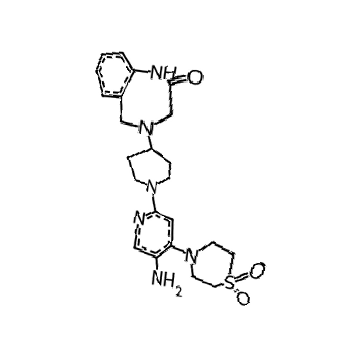 Nc1cnc(N2CCC(N3CC(=O)Nc4ccccc4C3)CC2)cc1N1CCS(=O)(=O)CC1